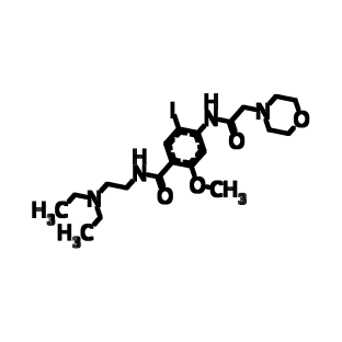 CCN(CC)CCNC(=O)c1cc(I)c(NC(=O)CN2CCOCC2)cc1OC